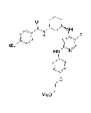 COCCOc1ccc(Nc2ncc(F)c(N[C@@H]3CCC[C@@H](NC(=O)c4ccc(C(C)(C)C)cc4)C3)n2)cc1